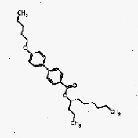 CCCCCC[C@H](CCC)OC(=O)c1ccc(-c2ccc(OCCCCC)cc2)cc1